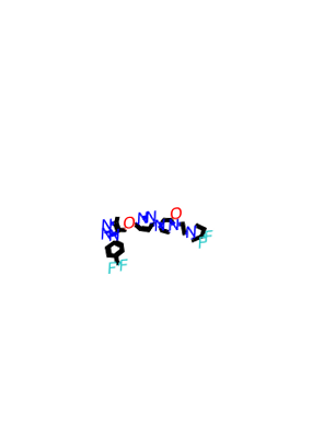 Cc1nnn(-c2ccc(C(F)F)cc2)c1COc1ccc(N2CCN(CCN3CCC(F)(F)C3)C(=O)C2)nn1